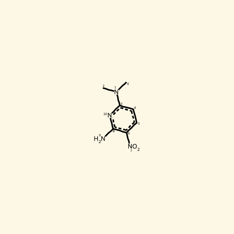 CN(C)c1ccc([N+](=O)[O-])c(N)n1